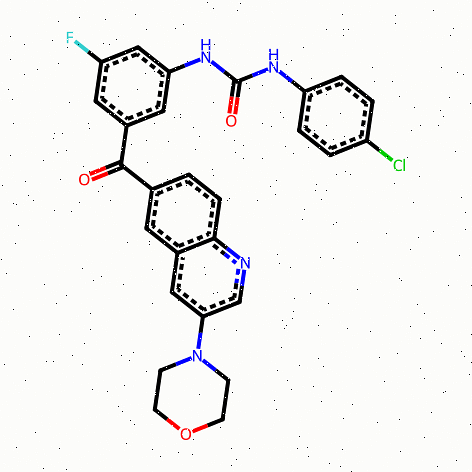 O=C(Nc1ccc(Cl)cc1)Nc1cc(F)cc(C(=O)c2ccc3ncc(N4CCOCC4)cc3c2)c1